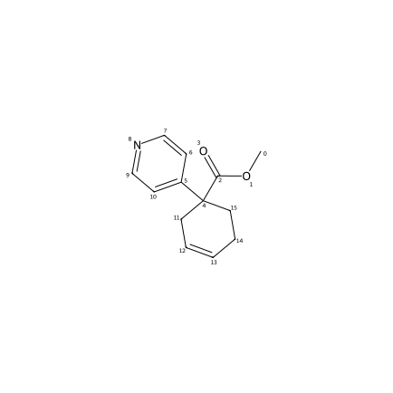 COC(=O)C1(c2ccncc2)CC=CCC1